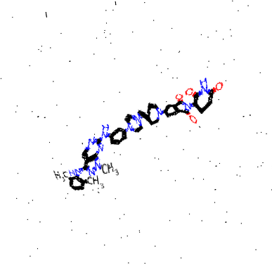 Cc1cccc(C)c1Nc1nn(C)c2nc(Nc3cccc(N4CCN(CC5CCN(c6ccc7c(c6)C(=O)N(C6CCC(=O)NC6=O)C7=O)CC5)CC4)c3)ncc12